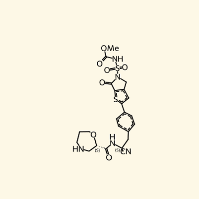 COC(=O)NS(=O)(=O)N1Cc2cc(-c3ccc(C[C@@H](C#N)NC(=O)[C@@H]4CNCCCO4)cc3)sc2C1=O